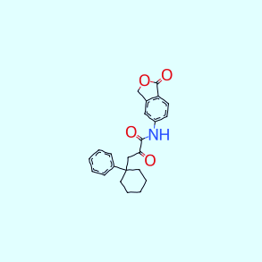 O=C(CC1(c2ccccc2)CCCCC1)C(=O)Nc1ccc2c(c1)COC2=O